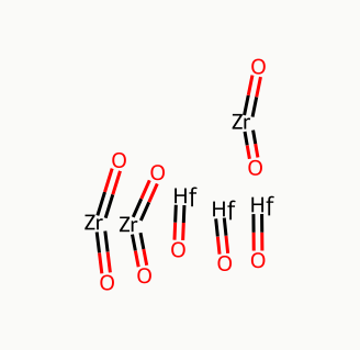 [O]=[Hf].[O]=[Hf].[O]=[Hf].[O]=[Zr]=[O].[O]=[Zr]=[O].[O]=[Zr]=[O]